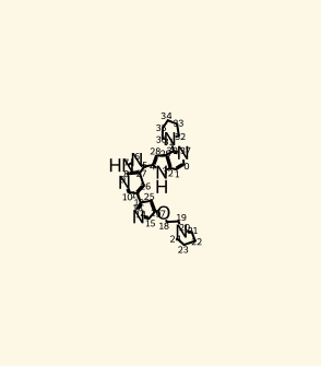 c1cc2[nH]c(-c3n[nH]c4ncc(-c5cncc(OCCN6CCCC6)c5)cc34)cc2c(N2CCCCC2)n1